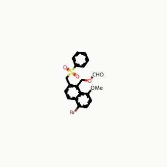 COc1ccc(Br)c2ccc(CS(=O)(=O)c3ccccc3)c(COC=O)c12